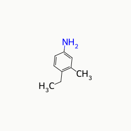 CCc1ccc(N)cc1C